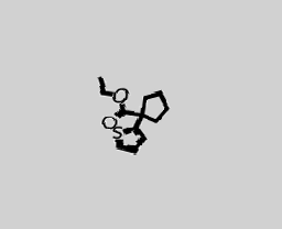 CCOC(=O)C1(c2cccs2)CCCC1